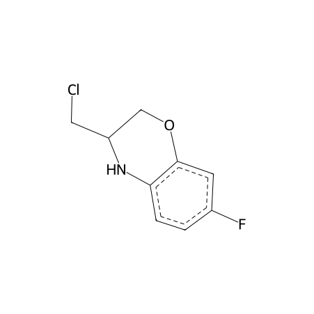 Fc1ccc2c(c1)OCC(CCl)N2